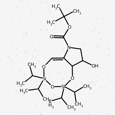 CC(C)[Si]1(C(C)C)OC=C2C(O[Si](C(C)C)(C(C)C)O1)C(O)CN2C(=O)OC(C)(C)C